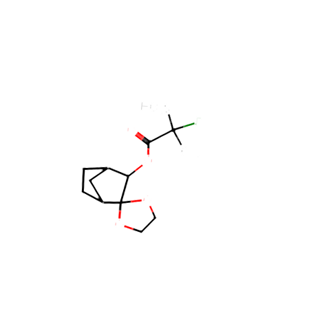 O=C(OC1C2CCC(C2)C12OCCO2)C(F)(C(F)(F)F)S(=O)(=O)O